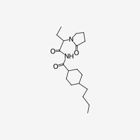 CCCCC1CCC(C(=O)NC(=O)C(CC)N2CCCC2=O)CC1